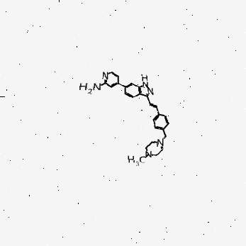 CN1CCN(Cc2ccc(C=Cc3n[nH]c4cc(-c5ccnc(N)c5)ccc34)cc2)CC1